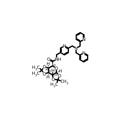 CC1(C)O[C@H]2[C@@H](O1)[C@@H](C(=O)NCc1ccc(CN(Cc3ccccn3)Cc3ccccn3)nc1)O[C@H]1OC(C)(C)O[C@@H]12